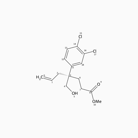 C=CC[C@@](CO)(CCC(=O)OC)c1ccc(Cl)c(Cl)c1